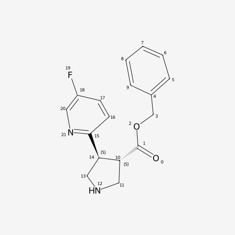 O=C(OCc1ccccc1)[C@@H]1CNC[C@H]1c1ccc(F)cn1